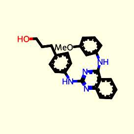 COc1cccc(Nc2nc(Nc3ccc(CCCO)cc3)nc3ccccc23)c1